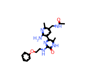 CC(=O)NCc1cc(-c2nc(NCCOc3ccccc3)c(=O)[nH]c2C)c(N)nc1C